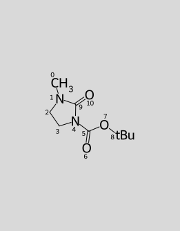 CN1CCN(C(=O)OC(C)(C)C)C1=O